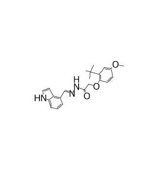 COc1ccc(OCC(=O)N/N=C/c2cccc3[nH]ccc23)c(C(C)(C)C)c1